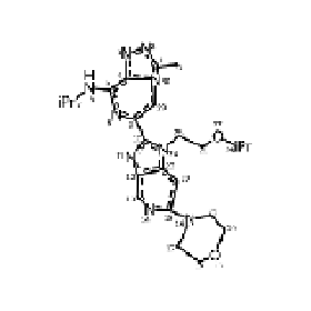 Cc1nnc2c(NC(C)C)nc(-c3nc4cnc(N5CCOCC5)cc4n3CCOC(C)C)cn12